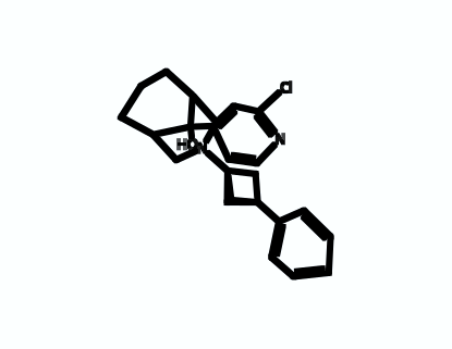 OC1(c2ccnc(Cl)c2)C2CCCC1CN(C13CC(c4ccccc4)(C1)C3)C2